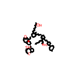 CCCCC(CCO)C1C[C@@H](CCCC2CC[C@H](CCCC3CC[C@H](CCC4CCCCC5COCCCCC(O)CC45)CC4C5CCC6(C)CC(CCC354)O6)CC(CCCCCC(C)O)C2C)CCC1CCC1CCC(C2CCCCC(C)CCC2)CC1